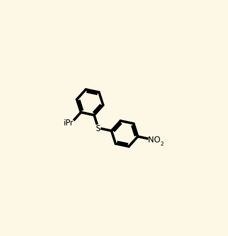 CC(C)c1ccccc1Sc1ccc([N+](=O)[O-])cc1